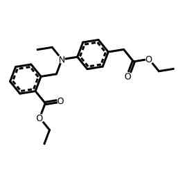 CCOC(=O)Cc1ccc(N(CC)Cc2ccccc2C(=O)OCC)cc1